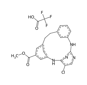 COC(=O)c1cc2cc(c1)Nc1nc(ncc1Cl)Nc1cccc(c1)CC2.O=C(O)C(F)(F)F